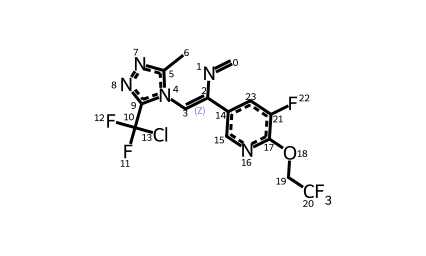 C=N/C(=C\n1c(C)nnc1C(F)(F)Cl)c1cnc(OCC(F)(F)F)c(F)c1